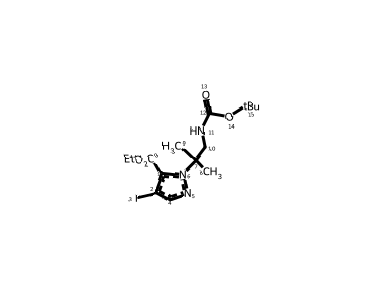 CCOC(=O)c1c(I)cnn1C(C)(C)CNC(=O)OC(C)(C)C